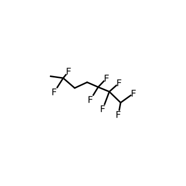 CC(F)(F)CCC(F)(F)C(F)(F)C(F)F